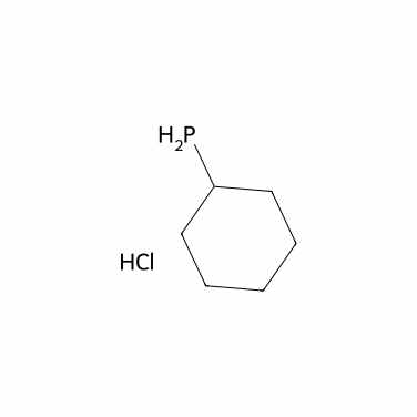 Cl.PC1CCCCC1